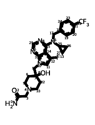 NC(=O)CN1CCC(O)(Cn2cc(F)c3c(N(Cc4ccc(C(F)(F)F)cc4)C4CC4)ncnc32)CC1